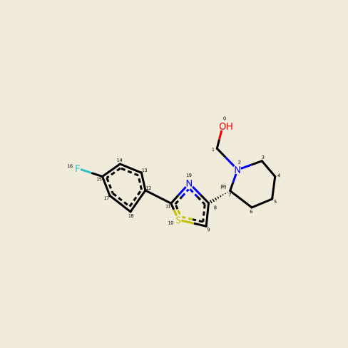 OCN1CCCC[C@@H]1c1csc(-c2ccc(F)cc2)n1